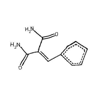 NC(=O)C(=Cc1ccccc1)C(N)=O